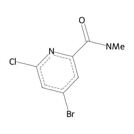 CNC(=O)c1cc(Br)cc(Cl)n1